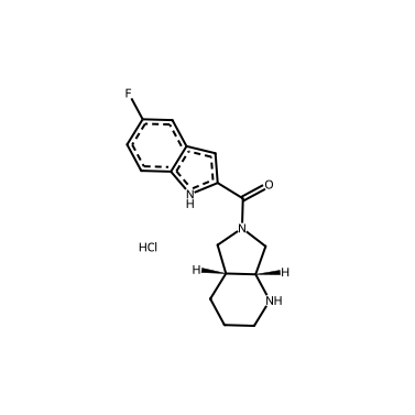 Cl.O=C(c1cc2cc(F)ccc2[nH]1)N1C[C@H]2CCCN[C@H]2C1